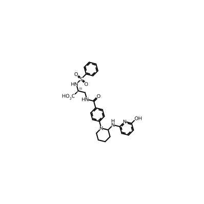 O=C(NC[C@H](NS(=O)(=O)c1ccccc1)C(=O)O)c1ccc(N2CCCCC2Nc2cccc(O)n2)cc1